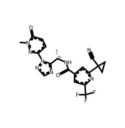 C[C@H](NC(=O)c1cc(C(F)(F)F)nc(C2(C#N)CC2)c1)c1ncnn1-c1ccc(=O)n(C)n1